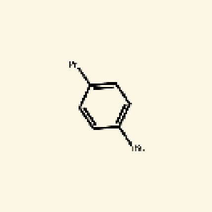 [CH2]CC(C)c1ccc(C(C)C)cc1